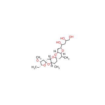 CC[C@H]1O[C@@]2(C[C@@H]3O[C@]4(C[C@H](C)[C@@H]5O[C@H]([C@@H](O)C[C@@H](O)CO)C[C@@H]5O4)C[C@H](C)[C@@H]3O2)C[C@H]1OC